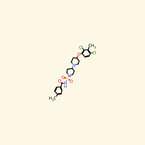 Cc1ccc(C(=O)NS(=O)(=O)N2CCC(N3CCC(Oc4ccc(Cl)c(C)c4Cl)CC3)CC2)cc1